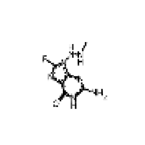 CNNn1c(F)nc2c(=O)[nH]c(N)nc21